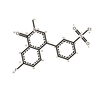 CCS(=O)(=O)c1cccc(-c2cn(C)c(=O)c3cc(F)ccc23)c1